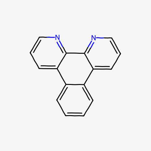 c1ccc2c(c1)c1cccnc1c1ncccc21